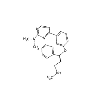 CNCC[C@H](Oc1cccc(-c2ccnc(N(C)C)n2)c1)c1ccccc1